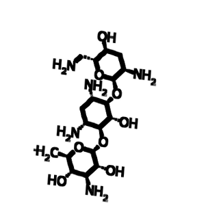 [CH2][C@H]1O[C@@H](O[C@@H]2[C@@H](O)[C@H](O[C@H]3O[C@H](CN)[C@@H](O)C[C@H]3N)[C@@H](N)C[C@H]2N)[C@H](O)[C@@H](N)[C@@H]1O